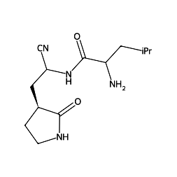 CC(C)CC(N)C(=O)NC(C#N)C[C@@H]1CCNC1=O